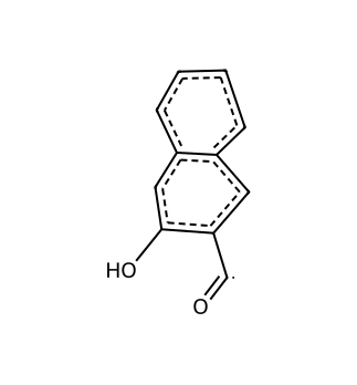 O=[C]c1cc2ccccc2cc1O